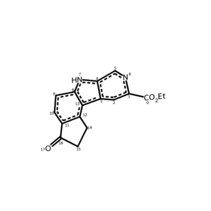 CCOC(=O)c1cc2c(cn1)[nH]c1ccc3c(c12)CCC3=O